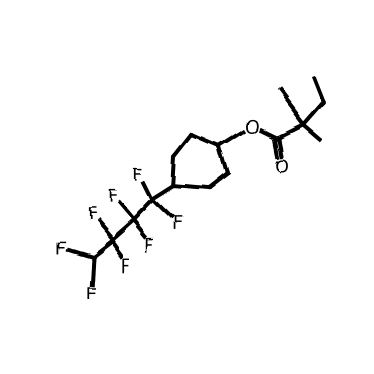 CCC(C)(C)C(=O)OC1CCC(C(F)(F)C(F)(F)C(F)(F)C(F)F)CC1